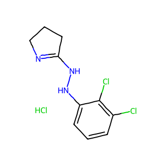 Cl.Clc1cccc(NNC2=NCCC2)c1Cl